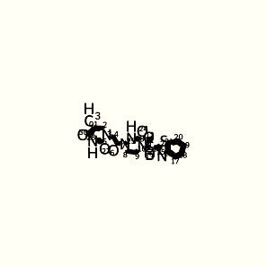 Cc1cn(CC(=O)N2CCN(S(=O)(=O)c3nc4ccccc4s3)C(=O)N2)c(=O)[nH]c1=O